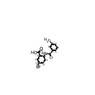 Cc1cccc(C(=O)Nc2ccc(Br)cc2C(=O)O)c1